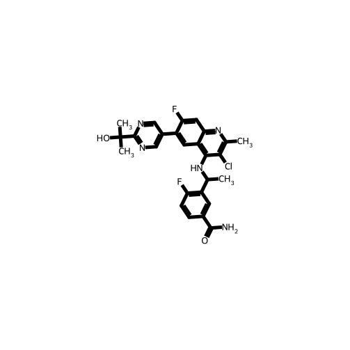 Cc1nc2cc(F)c(-c3cnc(C(C)(C)O)nc3)cc2c(NC(C)c2cc(C(N)=O)ccc2F)c1Cl